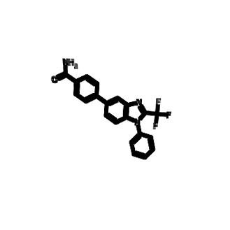 NC(=O)c1ccc(-c2ccc3c(c2)nc(C(F)(F)F)n3-c2ccccc2)cc1